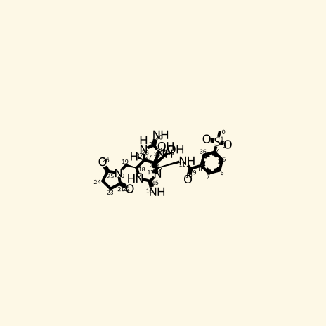 CS(=O)(=O)c1cccc(C(=O)N[C@H]2CN3C(=N)N[C@@H](CN4C(=O)CCC4=O)[C@@H]4NC(=N)N[C@@]43C2(O)O)c1